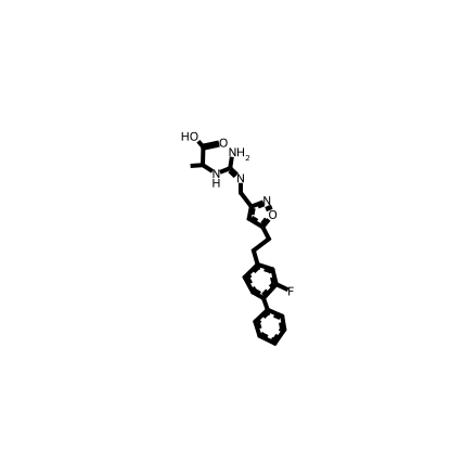 CC(NC(N)=NCc1cc(CCc2ccc(-c3ccccc3)c(F)c2)on1)C(=O)O